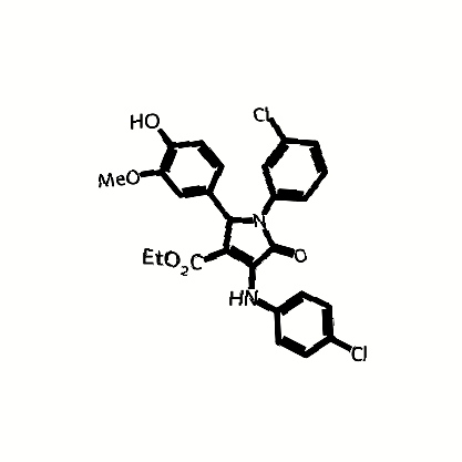 CCOC(=O)C1=C(Nc2ccc(Cl)cc2)C(=O)N(c2cccc(Cl)c2)C1c1ccc(O)c(OC)c1